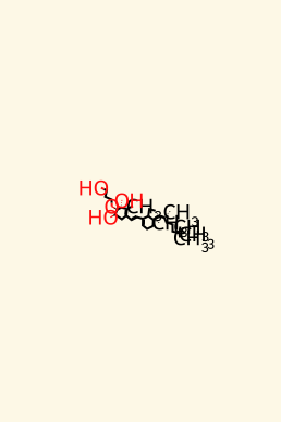 CC1=C(/C=C/C2=CCC[C@@]3(C)C2CC[C@@H]3[C@H](C)CCCC(C)(C)C)C[C@@H](O)[C@@H](OCCCO)[C@@H]1O